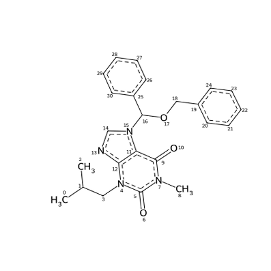 CC(C)Cn1c(=O)n(C)c(=O)c2c1ncn2C(OCc1ccccc1)c1ccccc1